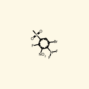 CS(=O)(=O)c1cc(Br)c(N(F)F)c([N+](=O)[O-])c1F